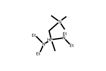 CCN(CC)[PH](C)(C[Si](C)(C)C)N(CC)CC